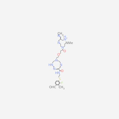 C=N/C=C(\C=N/CCN(CCNC)C(=O)CCOCCN1CC\N=C/C(C(=O)NCCSc2ccc(C=O)c(C)c2F)=C\N=C\NCC1)CN